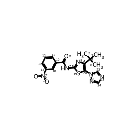 CC(C)(C)c1nc(NC(=O)c2cccc([N+](=O)[O-])c2)sc1-n1cncn1